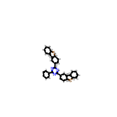 c1ccc(-c2nc(-c3ccc4sc5ccccc5c4c3)nc(-c3ccc4sc5ccccc5c4c3)n2)cc1